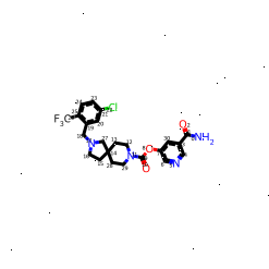 NC(=O)c1cncc(OC(=O)N2CCC3(CCN(Cc4cc(Cl)ccc4C(F)(F)F)C3)CC2)c1